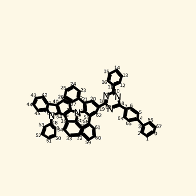 c1ccc(-c2ccc(-c3nc(-c4ccccc4)nc(-c4cc(-c5ccccc5)c(-n5c6ccccc6c6c5ccc5c7ccccc7n(-c7ccccc7)c56)c(-c5ccccc5)c4)n3)cc2)cc1